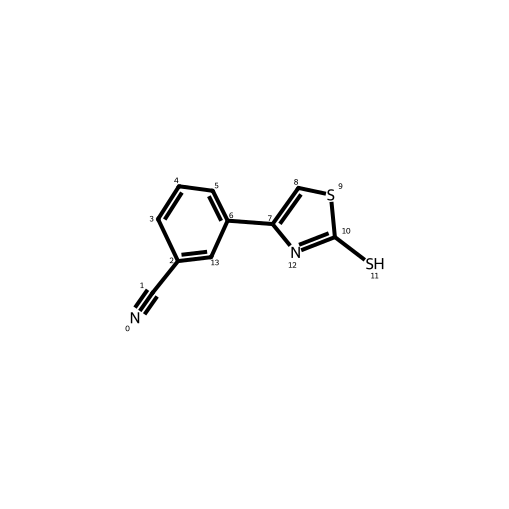 N#Cc1cccc(-c2csc(S)n2)c1